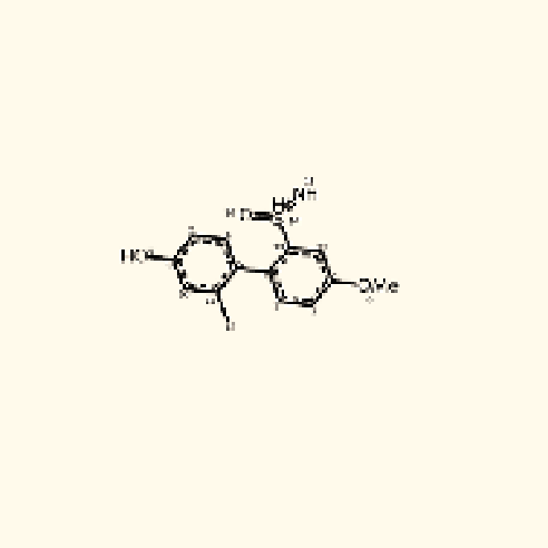 COc1ccc(-c2ccc(O)cc2C)c([SH](=N)=O)c1